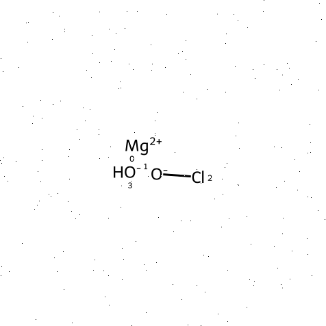 [Mg+2].[O-]Cl.[OH-]